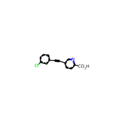 O=C(O)c1ccc(C#Cc2cccc(Cl)c2)cn1